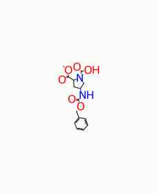 COC(=O)C1CC(NC(=O)OCc2ccccc2)CN1C(=O)O